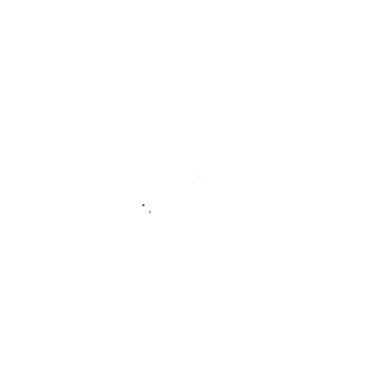 CN(C)C(C)(C)N1CCCCC1